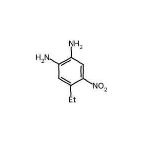 CCc1cc(N)c(N)cc1[N+](=O)[O-]